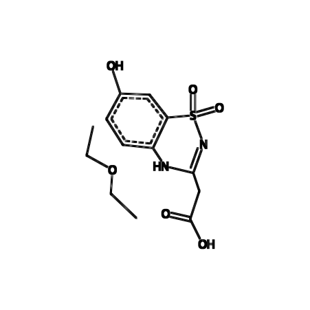 CCOCC.O=C(O)CC1=NS(=O)(=O)c2cc(O)ccc2N1